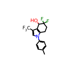 Cc1ccc(-n2cc(C(F)(F)F)c3c2CCC(F)(F)C3O)cc1